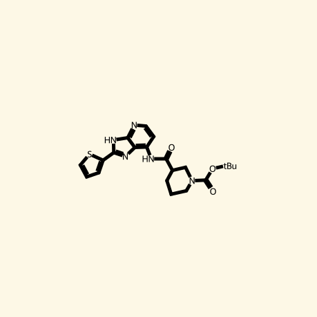 CC(C)(C)OC(=O)N1CCCC(C(=O)Nc2ccnc3[nH]c(-c4cccs4)nc23)C1